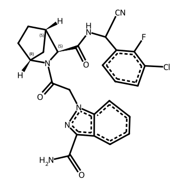 N#CC(NC(=O)[C@@H]1[C@H]2CC[C@H](C2)N1C(=O)Cn1nc(C(N)=O)c2ccccc21)c1cccc(Cl)c1F